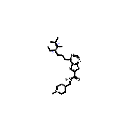 C/C=C(CCCc1ncnc2c1N=C(C(=O)NCC1CCN(C)CC1)C2)\C(C)=C(/C)F